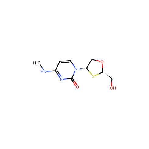 CNc1ccn([C@@H]2CO[C@H](CO)S2)c(=O)n1